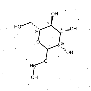 OBOC1O[C@H](CO)[C@@H](O)[C@H](O)[C@@H]1O